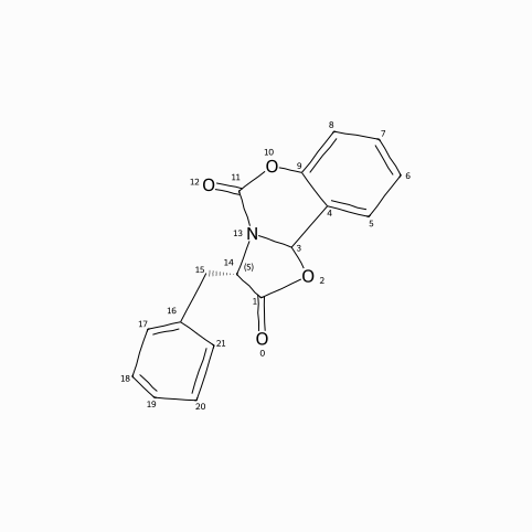 O=C1OC2c3ccccc3OC(=O)N2[C@H]1Cc1ccccc1